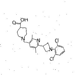 Cc1cc(CN2CCC(C(=O)O)CC2)c(C)nc1C1CN(c2c(Cl)cccc2Cl)C1